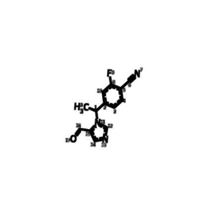 CC(c1ccc(C#N)c(F)c1)n1cncc1C=O